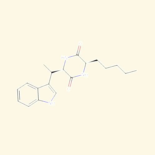 CCCCC[C@H]1NC(=O)[C@@H](C(C)c2c[nH]c3ccccc23)NC1=O